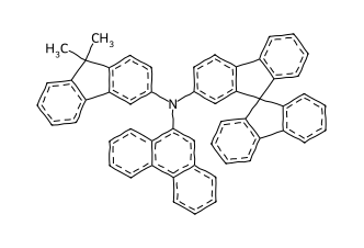 CC1(C)c2ccccc2-c2cc(N(c3ccc4c(c3)C3(c5ccccc5-c5ccccc53)c3ccccc3-4)c3cc4ccccc4c4ccccc34)ccc21